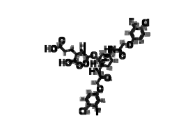 O=C(O)CC[C@@H](NC(=O)O[C@H]1CC2(NC(=O)COc3ccc(Cl)c(F)c3)CCC1(NC(=O)COc1ccc(Cl)c(F)c1)CC2)C(=O)O